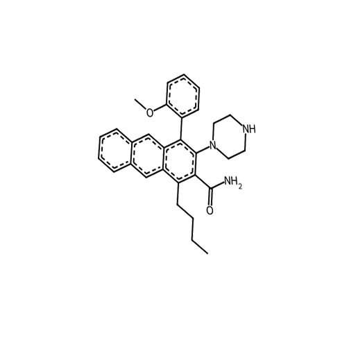 CCCCc1c(C(N)=O)c(N2CCNCC2)c(-c2ccccc2OC)c2cc3ccccc3cc12